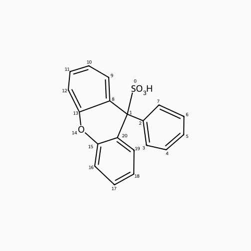 O=S(=O)(O)C1(c2ccccc2)c2ccccc2Oc2ccccc21